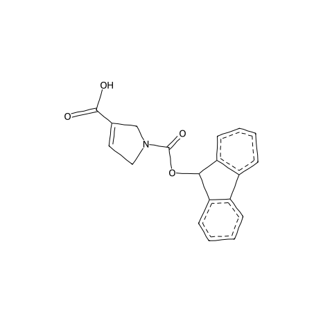 O=C(O)C1=CCN(C(=O)OC2c3ccccc3-c3ccccc32)C1